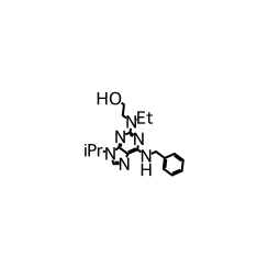 CCN(CCO)c1nc(NCc2ccccc2)c2ncn(C(C)C)c2n1